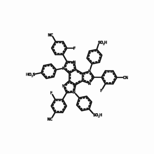 N#Cc1ccc(-c2nc3c(c4nc(-c5ccc(C#N)cc5F)n(-c5ccc(S(=O)(=O)O)cc5)c4c4nc(-c5ccc(C#N)cc5F)n(-c5ccc(S(=O)(=O)O)cc5)c34)n2-c2ccc(S(=O)(=O)O)cc2)c(F)c1